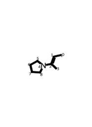 [CH2]C=C(C)N1CCCC1